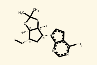 Cc1ncnc2c1ccn2[C@@H]1C[C@H](CI)[C@H]2OC(C)(C)O[C@H]21